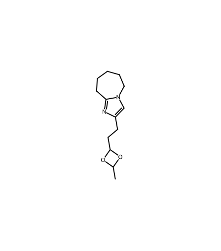 CC1OC(CCc2cn3c(n2)CCCCC3)O1